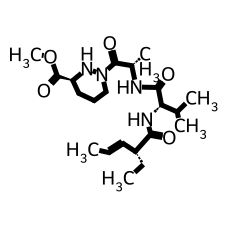 C/C=C/[C@@H](CC)C(=O)N[C@H](C(=O)N[C@@H](C)C(=O)N1CCC[C@@H](C(=O)OC)N1)C(C)C